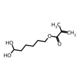 C=C(C)C(=O)OCCCCCC(O)O